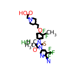 CC(F)(F)c1cc(N2C(=S)N(c3cnc(C#N)c(C(F)(F)F)c3)C(=O)C2(C)C)ccc1OCCC1CCN(CC(=O)O)CC1.Cl